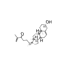 C=C(C)C(=O)CC[C@@H](C)[C@H]1CC[C@H]2[C@@H]3CC=C4C[C@@H](O)CC[C@]4(C)[C@H]3CC[C@]12C